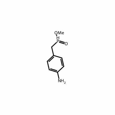 CO[PH](=O)Cc1ccc(N)cc1